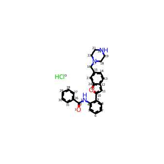 Cl.O=C(Nc1ccccc1-c1cc2ccc(CN3CCNCC3)cc2o1)c1ccccc1